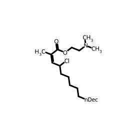 CCCCCCCCCCCCCCCC(Cl)C=C(C)C(=O)OCCN(C)C